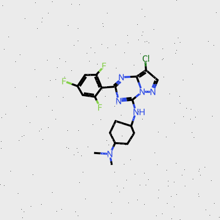 CN(C)C1CCC(Nc2nc(-c3c(F)cc(F)cc3F)nc3c(Cl)cnn23)CC1